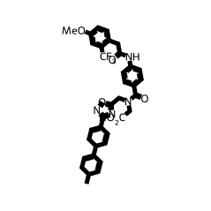 COc1ccc(CC(=O)Nc2ccc(C(=O)N(CC(=O)O)Cc3nc(C4=CCC(C5=CCC(C)C=C5)C=C4)no3)cc2)c(C(F)(F)F)c1